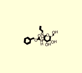 C=CCN[C@@H]1O[C@H](CO)[C@H](O)[C@H](O)[C@H]1NC(=O)OCc1ccccc1